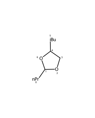 CCCC1OCC(C(C)CC)O1